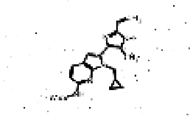 C=Cc1nc(-c2cc3ccc(NSC)nc3n2CC2CC2)c(C)[nH]1